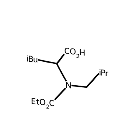 CCOC(=O)N(CC(C)C)C(C(=O)O)C(C)CC